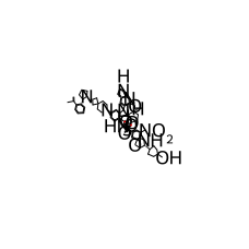 C=C(C)c1ccccc1[C@@H]1CCCN1C1CC2(CCN(c3ccc(C(=O)NS(=O)(=O)c4cc5c(c([N+](=O)[O-])c4)N[C@@H](C4CCC(O)CC4)CO5)c(N4c5cc6cc[nH]c6nc5O[C@@H]5CCOC[C@H]54)c3)CC2)C1